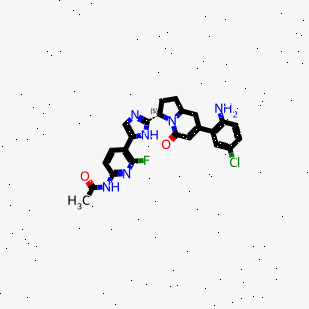 CC(=O)Nc1ccc(-c2cnc([C@@H]3CCC4CC(c5cc(Cl)ccc5N)=CC(=O)N43)[nH]2)c(F)n1